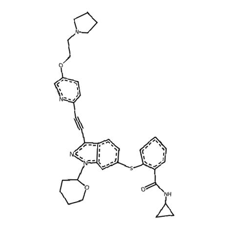 O=C(NC1CC1)c1ccccc1Sc1ccc2c(C#Cc3ccc(OCCN4CCCC4)cn3)nn(C3CCCCO3)c2c1